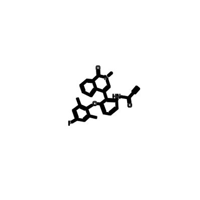 C#CC(=O)Nc1cccc(Oc2c(C)cc(F)cc2C)c1-c1cn(C)c(=O)c2ccccc12